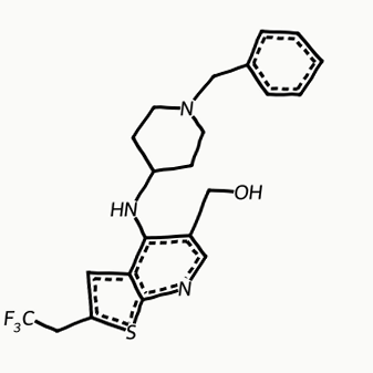 OCc1cnc2sc(CC(F)(F)F)cc2c1NC1CCN(Cc2ccccc2)CC1